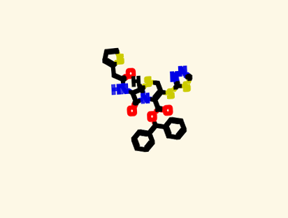 O=C(Cc1cccs1)N[C@@H]1C(=O)N2C(C(=O)OC(c3ccccc3)c3ccccc3)=C(Sc3nncs3)CS[C@@H]12